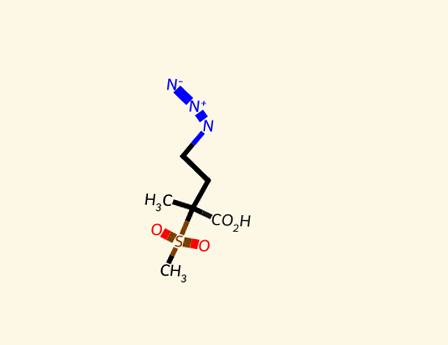 CC(CCN=[N+]=[N-])(C(=O)O)S(C)(=O)=O